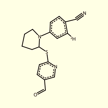 [2H]c1cc(N2CCCCC2Sc2ccc(C=O)cn2)ccc1C#N